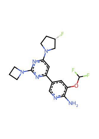 Nc1ncc(-c2cc(N3CC[C@H](F)C3)nc(N3CCC3)n2)cc1OC(F)F